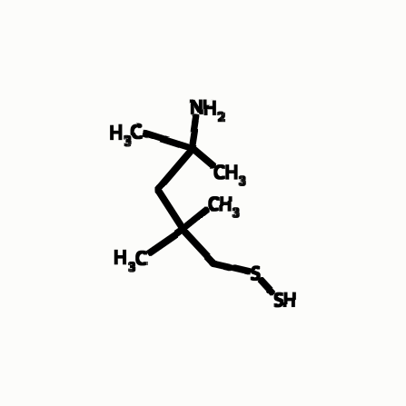 CC(C)(N)CC(C)(C)CSS